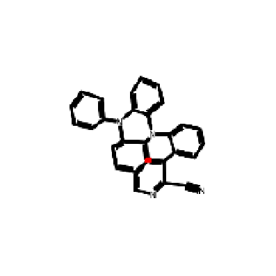 N#Cc1ncccc1-c1ccccc1N1c2ccccc2N(c2ccccc2)c2ccccc21